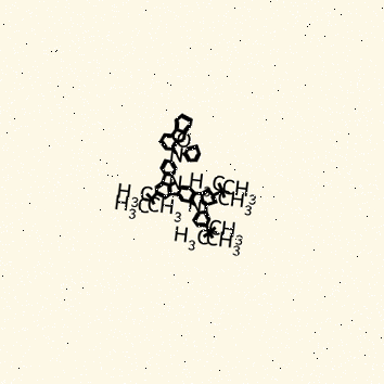 CC(C)(C)c1ccc2c(c1)c1cc(C(C)(C)C)cc3c4cc5c(cc4n2c13)c1cc(C(C)(C)C)cc2c3ccc(N(c4ccccc4)c4cccc6c4oc4ccccc46)cc3n5c21